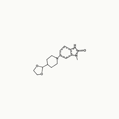 Cn1c(=O)[nH]c2ccc(N3CCC(C4OCCO4)CC3)cc21